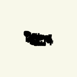 COc1ccc2ncc(CN3CCOCC3)c([C@@H](O)CCC3(C(=O)O)CCN(CCOc4c(F)cc(F)cc4F)CC3)c2c1